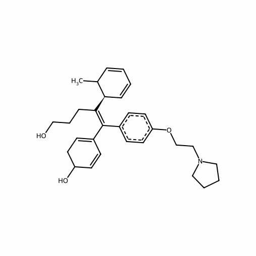 CC1C=CC=C[C@H]1/C(CCCO)=C(/C1=CCC(O)C=C1)c1ccc(OCCN2CCCC2)cc1